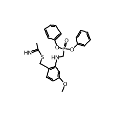 COc1ccc(CSC(C)=N)c(NCP(=O)(Oc2ccccc2)Oc2ccccc2)c1